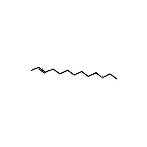 C/C=C/CCCCCCCSCC